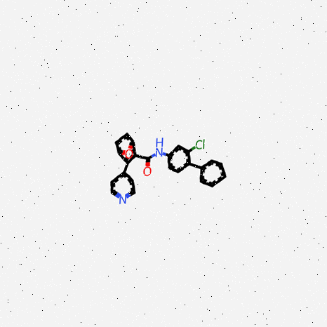 O=C(Nc1ccc(-c2ccccc2)c(Cl)c1)c1c(-c2ccncc2)c2ccc1o2